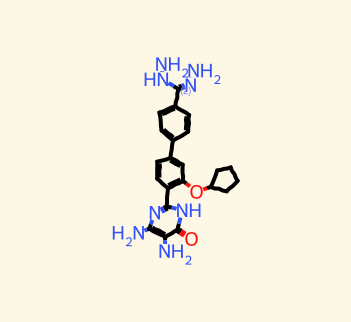 N/N=C(\NN)c1ccc(-c2ccc(-c3nc(N)c(N)c(=O)[nH]3)c(OC3CCCC3)c2)cc1